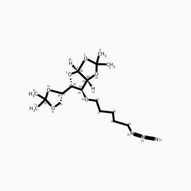 CC1(C)O[C@H]2O[C@@H]([C@@H]3COC(C)(C)O3)[C@H](OCCCCCN=[N+]=[N-])[C@H]2O1